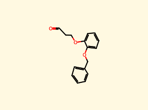 O=CCCOc1ccccc1OCc1ccccc1